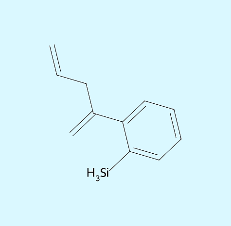 C=CCC(=C)c1ccccc1[SiH3]